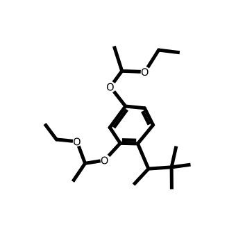 CCOC(C)Oc1ccc(C(C)C(C)(C)C)c(OC(C)OCC)c1